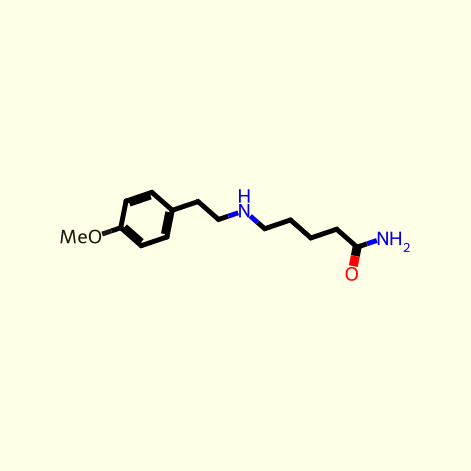 COc1ccc(CCNCCCCC(N)=O)cc1